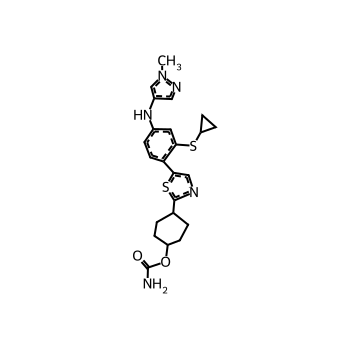 Cn1cc(Nc2ccc(-c3cnc(C4CCC(OC(N)=O)CC4)s3)c(SC3CC3)c2)cn1